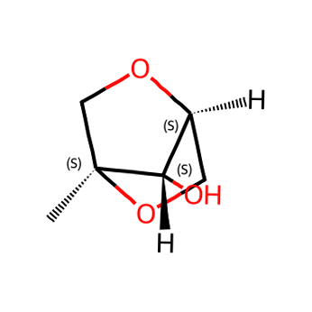 C[C@@]12CO[C@@H](CO1)[C@@H]2O